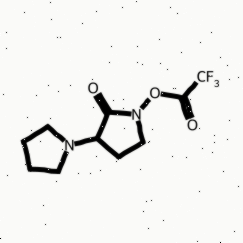 O=C1C(N2CCCC2)CCN1OC(=O)C(F)(F)F